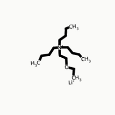 CCCC[N+](CCCC)(CCCC)CCOCC.[Li+]